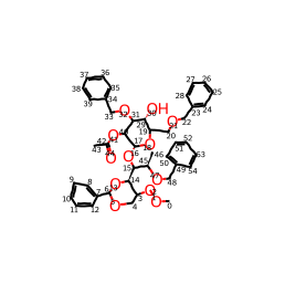 COOC1COC(c2ccccc2)O[C@H]1C(O[C@H]1OC(COCc2ccccc2)[C@@H](O)C(OCc2ccccc2)C1OC(C)=O)[C@@H](C)OCc1ccccc1